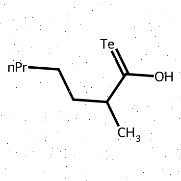 CCCCCC(C)C(O)=[Te]